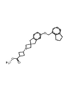 COC(=O)C1CC(N2CC3(Cc4ccc(OCc5cccc6c5CCC6)cc4C3)C2)C1